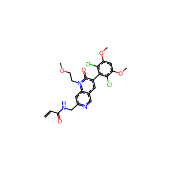 C=CC(=O)NCc1cc2c(cn1)cc(-c1c(Cl)c(OC)cc(OC)c1Cl)c(=O)n2CCOC